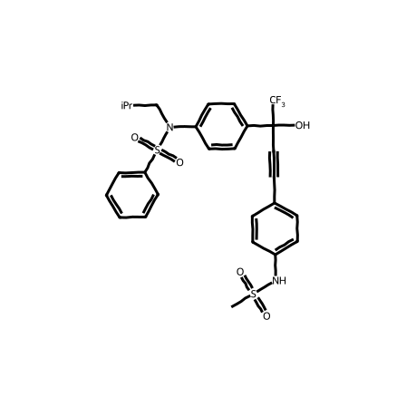 CC(C)CN(c1ccc(C(O)(C#Cc2ccc(NS(C)(=O)=O)cc2)C(F)(F)F)cc1)S(=O)(=O)c1ccccc1